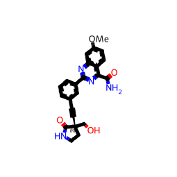 COc1ccc2c(C(N)=O)nc(-c3cccc(C#C[C@@]4(CO)CCNC4=O)c3)nc2c1